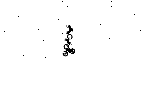 CCCOCCO[N+](=O)[O-]